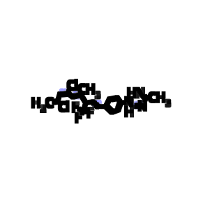 C=C(Cl)/C=C(Cl)\C=C(/C)C(/C=C/c1ccc(N/C=N\C(C)=N)cc1)C(F)(F)F